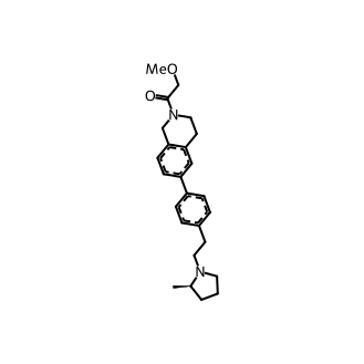 COCC(=O)N1CCc2cc(-c3ccc(CCN4CCC[C@H]4C)cc3)ccc2C1